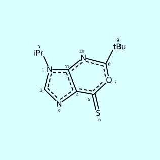 CC(C)n1cnc2c(=S)oc(C(C)(C)C)nc21